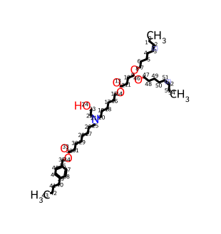 CC/C=C\CCCCOC(CCC(=O)OCCCCCCN(CCO)CCCCCCCC(=O)OCc1ccc(CCCC)cc1)OCCCC/C=C\CC